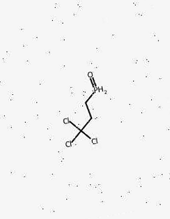 O=[PH2]CCC(Cl)(Cl)Cl